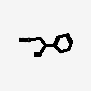 COCC(O)C1=CC=CC[CH]1